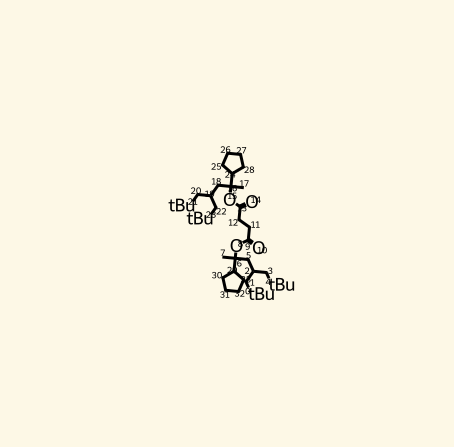 CC(C)(C)CC(CC(C)(C)C)CC(C)(OC(=O)CCC(=O)OC(C)(CC(CC(C)(C)C)CC(C)(C)C)C1CCCC1)C1CCCC1